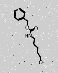 [O]CCCCCNC(=O)OCc1ccccc1